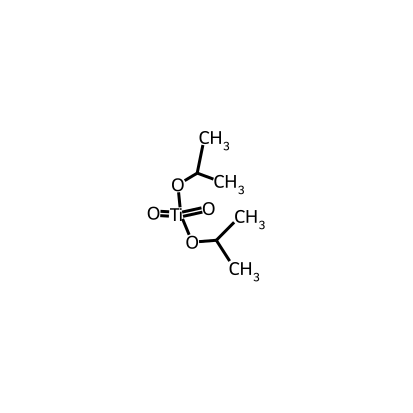 CC(C)[O][Ti](=[O])(=[O])[O]C(C)C